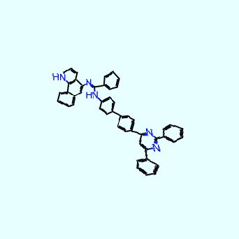 C1=Cc2c(/N=C(\Nc3ccc(-c4ccc(-c5cc(-c6ccccc6)nc(-c6ccccc6)n5)cc4)cc3)c3ccccc3)cc3ccccc3c2NC1